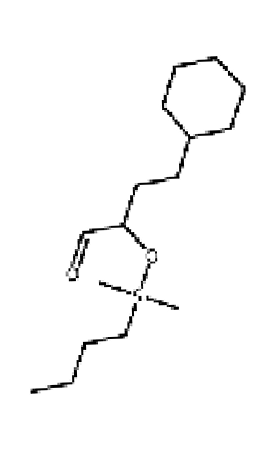 CCCC[Si](C)(C)OC(C=O)CCC1CCCCC1